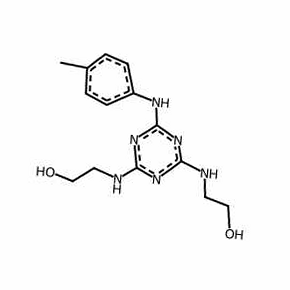 Cc1ccc(Nc2nc(NCCO)nc(NCCO)n2)cc1